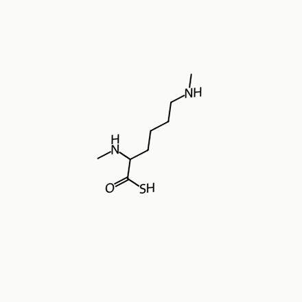 CNCCCCC(NC)C(=O)S